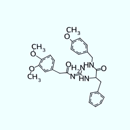 COc1ccc(CNC(=O)C(Cc2ccccc2)NC(N)=NC(=O)Cc2ccc(OC)c(OC)c2)cc1